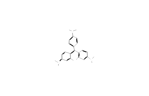 CCN(CC)c1ccc(-c2c3ccc(=[N+](CC)CC)cc-3oc3cc(N(CC)CC)ccc23)cc1